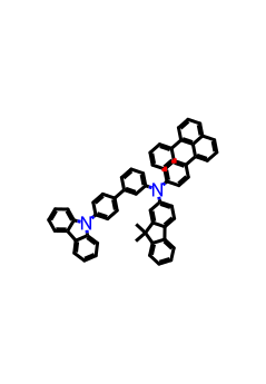 CC1(C)c2ccccc2-c2ccc(N(c3ccc(-c4cccc5cccc(-c6ccccc6)c45)cc3)c3cccc(-c4ccc(-n5c6ccccc6c6ccccc65)cc4)c3)cc21